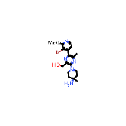 COc1nccc(-c2nc(CO)c(N3CCC(C)(N)CC3)nc2C)c1Br